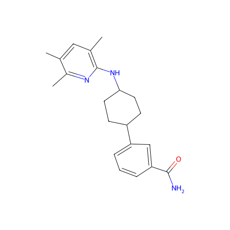 Cc1cc(C)c(NC2CCC(c3cccc(C(N)=O)c3)CC2)nc1C